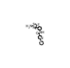 CC1(c2cc(NC(=O)c3ccc(N4CCCCC4)nc3)ccc2F)CCSC(N)=N1